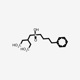 O=C(O)CC(CC(=O)O)CP(=O)(O)CCCCc1ccccc1